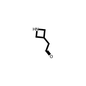 O=[C]CC1CNC1